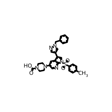 Cc1ccc(S(=O)(=O)n2cc(-c3cnn(Cc4ccccc4)c3)c3cc(N4CCN(C(=O)O)CC4)cnc32)cc1